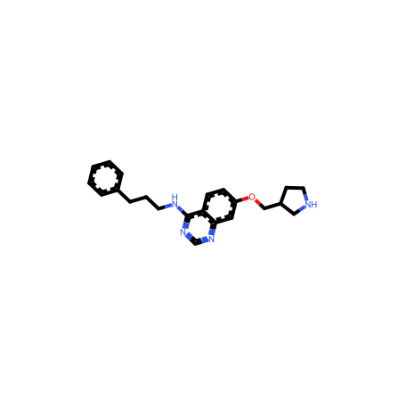 c1ccc(CCCNc2ncnc3cc(OCC4CCNC4)ccc23)cc1